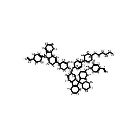 C=CC1=CCC(OC2=CCC(C3(C4CCCCC4)C4=C(CCCC4)C4C=CC(N(C5C=CC(C6CCC(CCCCCC)CC6)=CC5)C5C=CC(C6=CC7C8CCCC=C8N(C8=CCC(C=C)CC8)C7CC6)CC5)CC43)CC2)C=C1